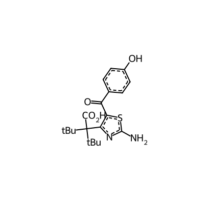 CC(C)(C)C(C(=O)O)(c1nc(N)sc1C(=O)c1ccc(O)cc1)C(C)(C)C